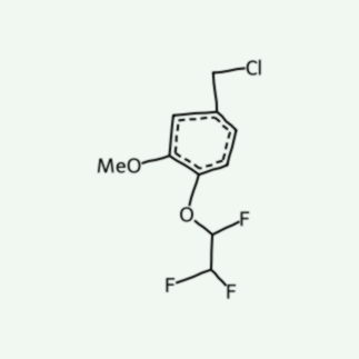 COc1cc(CCl)ccc1OC(F)C(F)F